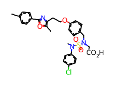 Cc1ccc(-c2nc(CCOc3ccc(CN(CC(=O)O)S(=O)(=O)N(C)c4ccc(Cl)cc4)cc3)c(C)o2)cc1